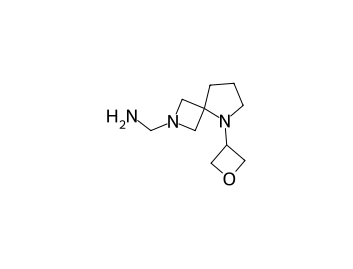 NCN1CC2(CCCN2C2COC2)C1